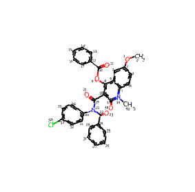 COc1ccc2c(c1)c(OC(=O)c1ccccc1)c(C(=O)N(C(=O)c1ccccc1)c1ccc(Cl)cc1)c(=O)n2C